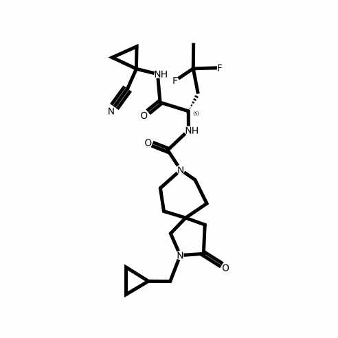 CC(F)(F)C[C@H](NC(=O)N1CCC2(CC1)CC(=O)N(CC1CC1)C2)C(=O)NC1(C#N)CC1